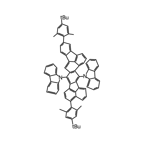 Cc1cc(C(C)(C)C)cc(C)c1-c1ccc2c(c1)c1cccc3c4c(-n5c6ccccc6c6ccccc65)c5c6cccc7c(-c8c(C)cc(C(C)(C)C)cc8C)ccc(c5c(-n5c8ccccc8c8ccccc85)c4cc2c13)c76